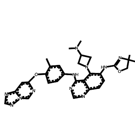 Cc1cc(Nc2ncnc3ccc(NC4=NC(C)(C)CO4)c(N4CC(N(C)C)C4)c23)ccc1Oc1cc2ncnn2cn1